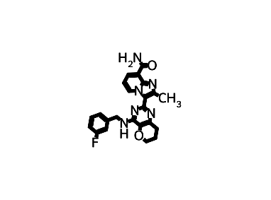 Cc1nc2c(C(N)=O)cccn2c1-c1nc2c(c(NCc3cccc(F)c3)n1)OCCC2